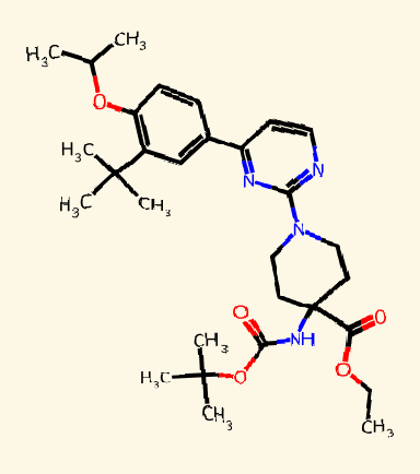 CCOC(=O)C1(NC(=O)OC(C)(C)C)CCN(c2nccc(-c3ccc(OC(C)C)c(C(C)(C)C)c3)n2)CC1